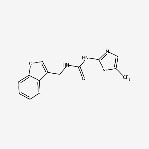 O=C(NCc1coc2ccccc12)Nc1ncc(C(F)(F)F)s1